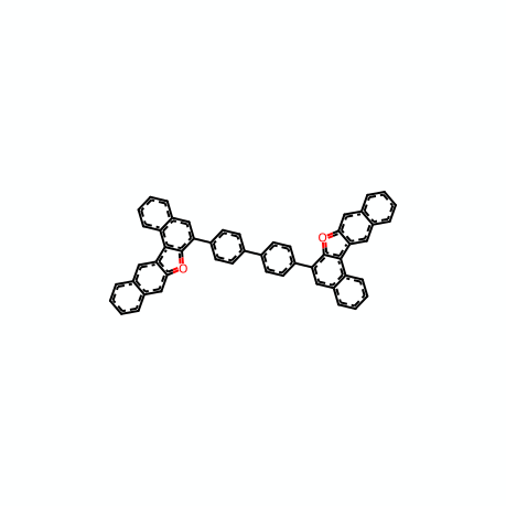 c1ccc2cc3c(cc2c1)oc1c(-c2ccc(-c4ccc(-c5cc6ccccc6c6c5oc5cc7ccccc7cc56)cc4)cc2)cc2ccccc2c13